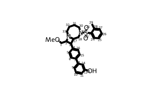 COCC1C(c2ccc(-c3cccc(O)c3)cc2)C2CN(S(=O)(=O)c3ccccc3C)CCCCN12